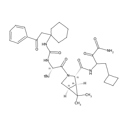 CC(C)(C)[C@H](NC(=O)NC1(CC(=O)c2ccccc2)CCCCC1)C(=O)N1C[C@H]2[C@@H]([C@H]1C(=O)NC(CC1CCC1)C(=O)C(N)=O)C2(C)C